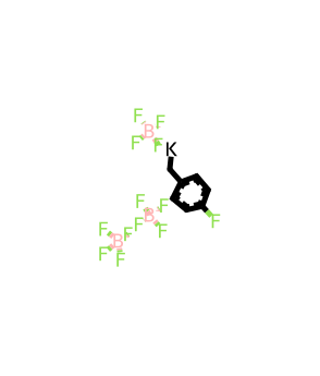 F[B-](F)(F)F.F[B-](F)(F)F.F[B-](F)(F)F.Fc1ccc([CH2][K])cc1